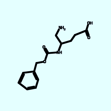 NCC(CCC(=O)O)NC(=O)OCc1ccccc1